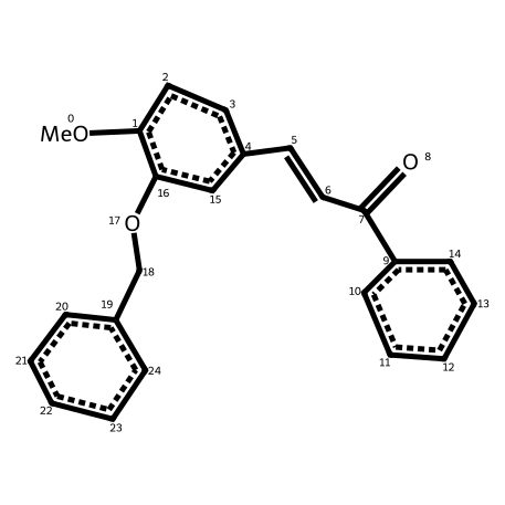 COc1ccc(/C=C/C(=O)c2ccccc2)cc1OCc1ccccc1